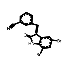 N#Cc1cccc(C=C2C(=O)Nc3c(Br)cc(Br)cc32)c1